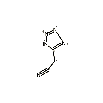 N#CCc1nnn[nH]1